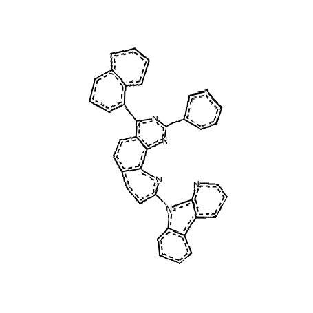 c1ccc(-c2nc(-c3cccc4ccccc34)c3ccc4ccc(-n5c6ccccc6c6cccnc65)nc4c3n2)cc1